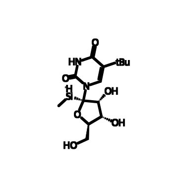 C[SiH](C)[C@@]1(n2cc(C(C)(C)C)c(=O)[nH]c2=O)O[C@H](CO)[C@@H](O)[C@H]1O